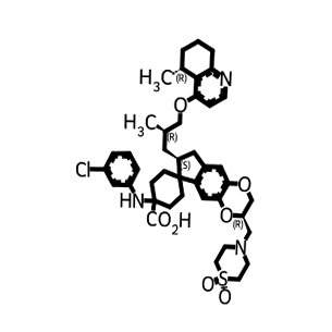 C[C@@H](COc1ccnc2c1[C@H](C)CCC2)C[C@H]1Cc2cc3c(cc2C12CCC(Nc1cccc(Cl)c1)(C(=O)O)CC2)O[C@H](CN1CCS(=O)(=O)CC1)CO3